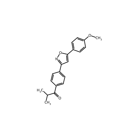 COc1ccc(-c2cc(-c3ccc(C(=O)C(C)C)cc3)no2)cc1